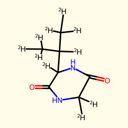 [2H]C1([2H])NC(=O)C([2H])(C([2H])(C([2H])([2H])[2H])C([2H])([2H])[2H])NC1=O